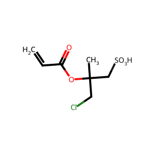 C=CC(=O)OC(C)(CCl)CS(=O)(=O)O